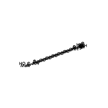 CN[C@@H](CCCCNC(=O)CCOCCOCCOCCOCCOCCOCCOCCOCCOCCOCCOCCOCCNC(=O)CCCC[C@@H]1SC[C@@H]2NC(=O)N[C@@H]21)C(=O)O